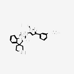 COc1cccc(-c2cc(NC(=O)[N+]3(C(C)=O)CC4(CCNCC4)c4ccccc43)n(C)n2)c1